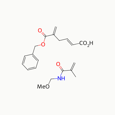 C=C(C)C(=O)NCOC.C=C(CC=CC(=O)O)C(=O)OCc1ccccc1